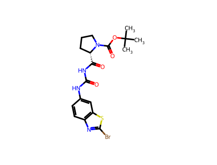 CC(C)(C)OC(=O)N1CCC[C@H]1C(=O)NC(=O)Nc1ccc2nc(Br)sc2c1